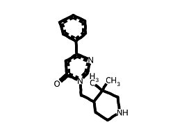 CC1(C)CNCCC1Cn1cnc(-c2ccccc2)cc1=O